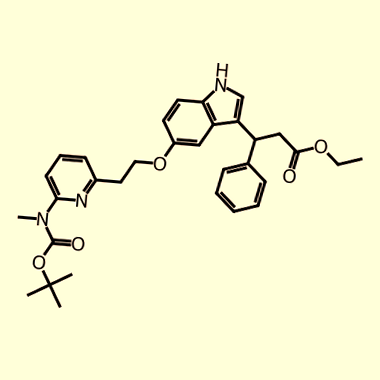 CCOC(=O)CC(c1ccccc1)c1c[nH]c2ccc(OCCc3cccc(N(C)C(=O)OC(C)(C)C)n3)cc12